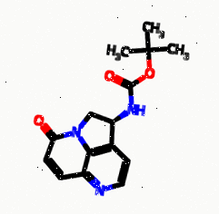 CC(C)(C)OC(=O)N[C@@H]1Cn2c(=O)ccc3nccc1c32